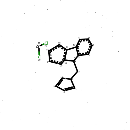 C1=CC(CC2c3ccccc3-c3ccccc32)C=C1.[Cl][Zr][Cl]